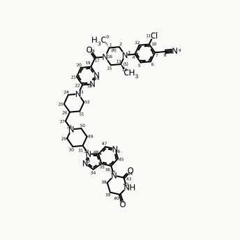 C[C@@H]1CN(c2ccc(C#N)c(Cl)c2)[C@@H](C)CN1C(=O)c1ccc(N2CCC(CN3CCC(n4ncc5c(N6CCC(=O)NC6=O)cncc54)CC3)CC2)nn1